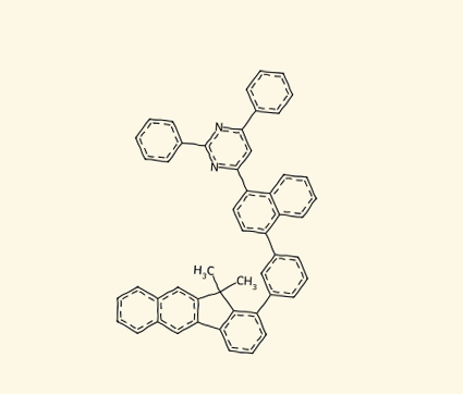 CC1(C)c2cc3ccccc3cc2-c2cccc(-c3cccc(-c4ccc(-c5cc(-c6ccccc6)nc(-c6ccccc6)n5)c5ccccc45)c3)c21